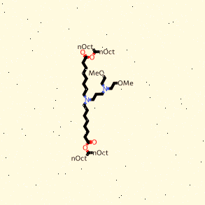 CCCCCCCCC(CCCCCCCC)OC(=O)CCCCCCCN(CCCCCCCC(=O)OC(CCCCCCCC)CCCCCCCC)CCCN(CCOC)CCOC